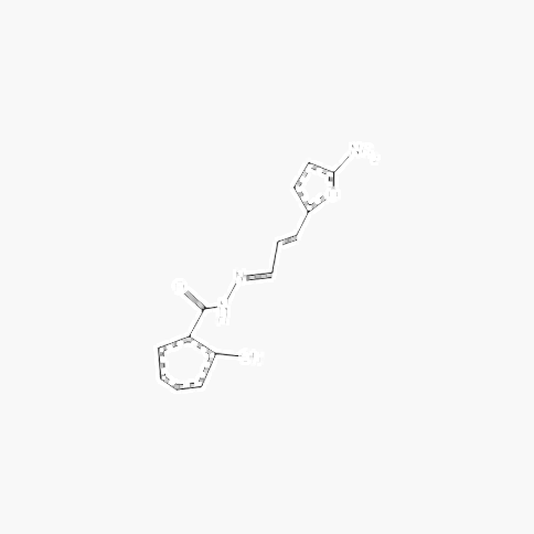 O=C(N/N=C/C=C/c1ccc([N+](=O)[O-])o1)c1ccccc1O